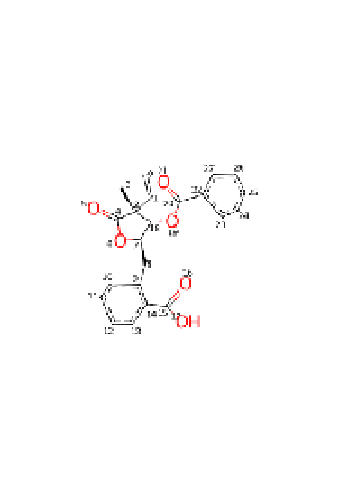 C=C[C@@]1(C)C(=O)O[C@H](Cc2ccccc2C(=O)O)[C@H]1OC(=O)c1ccccc1